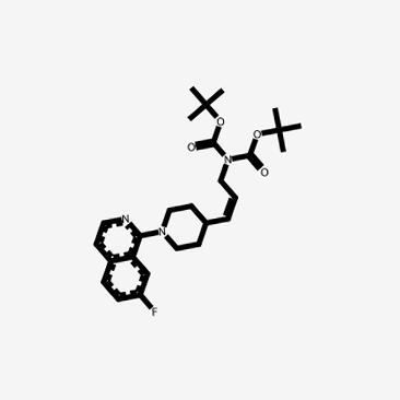 CC(C)(C)OC(=O)N(C/C=C\C1CCN(c2nccc3ccc(F)cc23)CC1)C(=O)OC(C)(C)C